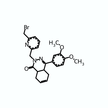 COc1ccc(C2=NN(Cc3cccc(CBr)n3)C(=O)C3CC=CCC23)cc1OC